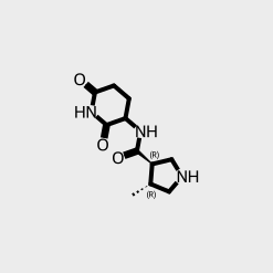 C[C@H]1CNC[C@@H]1C(=O)NC1CCC(=O)NC1=O